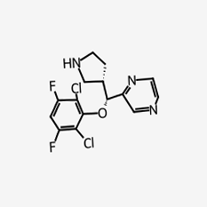 Fc1cc(F)c(Cl)c(O[C@@H](c2cnccn2)[C@H]2CCNC2)c1Cl